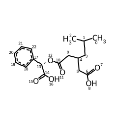 CC(C)CC(CC(=O)O)CC(=O)O[C@H](C(=O)O)c1ccccc1